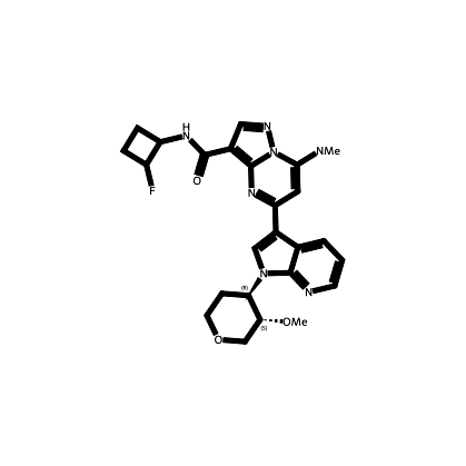 CNc1cc(-c2cn([C@@H]3CCOC[C@H]3OC)c3ncccc23)nc2c(C(=O)NC3CCC3F)cnn12